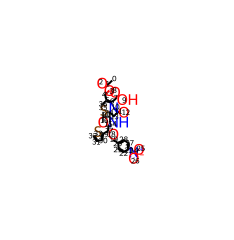 CC(=O)OCC1=C(C(=O)O)N2C(=O)[C@@H](NC(=O)C(OCc3ccc([N+](=O)[O-])cc3)c3cccs3)[C@H]2SC1